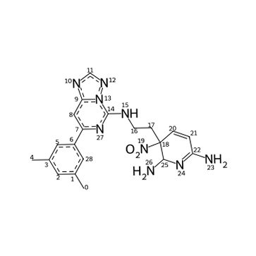 Cc1cc(C)cc(-c2cc3ncnn3c(NCCC3([N+](=O)[O-])C=CC(N)=NC3N)n2)c1